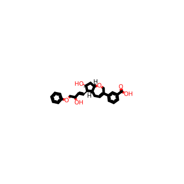 O=C(O)c1cccc(C2=CC[C@@H]3[C@@H](C=CC(O)COc4ccccc4)[C@H](O)C[C@@H]3OC2)c1